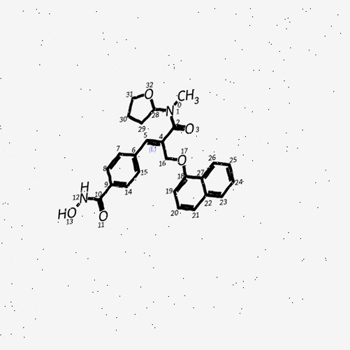 CN(C(=O)/C(=C/c1ccc(C(=O)NO)cc1)COc1cccc2ccccc12)C1CCCO1